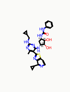 Cc1nc(NCC2CC2)nc(N[C@@H]2C[C@H](NC(=O)Nc3ccccc3)[C@@H](O)[C@H]2O)c1-c1nc2c(C3CC3)nccc2s1